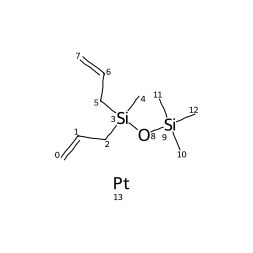 C=CC[Si](C)(CC=C)O[Si](C)(C)C.[Pt]